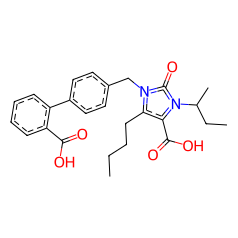 CCCCc1c(C(=O)O)n(C(C)CC)c(=O)n1Cc1ccc(-c2ccccc2C(=O)O)cc1